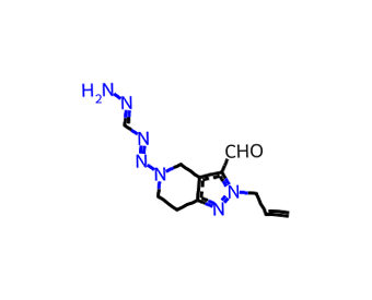 C=CCn1nc2c(c1C=O)CN(N=NC=NN)CC2